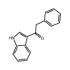 O=C(Cc1ccccc1)c1c[nH]c2ccccc12